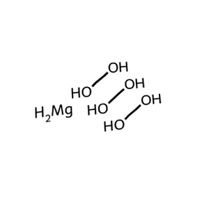 OO.OO.OO.[MgH2]